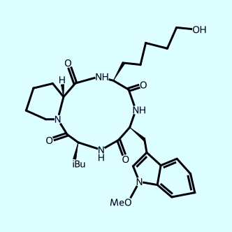 CCC(C)[C@@H]1NC(=O)[C@H](Cc2cn(OC)c3ccccc23)NC(=O)[C@H](CCCCCO)NC(=O)[C@H]2CCCCN2C1=O